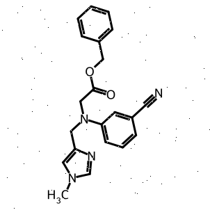 Cn1cnc(CN(CC(=O)OCc2ccccc2)c2cccc(C#N)c2)c1